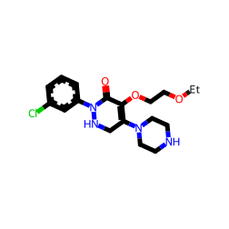 CCOCCOC1=C(N2CCNCC2)CNN(c2cccc(Cl)c2)C1=O